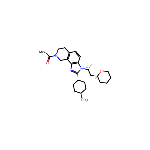 COC(=O)N1CCc2ccc3c(nc([C@H]4CC[C@H](C(=O)O)CC4)n3[C@H](C)C[C@@H]3CCCCO3)c2C1